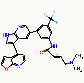 CN(C)C/C=C/C(=O)Nc1cc(-c2cnc3[nH]cc(-c4ccnc5occc45)c3c2)cc(C(F)(F)F)c1